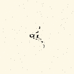 CCc1nsc(N=NC2=C(O)N(CCOC(C)=O)c3ccccc3S2(=O)=O)n1